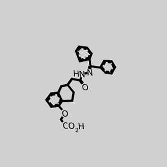 O=C(O)COc1cccc2c1CCC(CC(=O)NN=C(c1ccccc1)c1ccccc1)C2